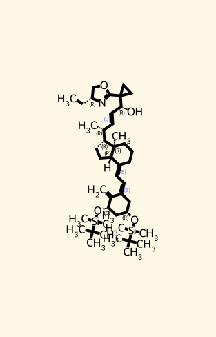 C=C1/C(=C\C=C2/CCC[C@]3(C)[C@@H]([C@H](C)/C=C/[C@@H](O)C4(C5=N[C@H](CC)CO5)CC4)CC[C@@H]23)C[C@@H](O[Si](C)(C)C(C)(C)C)C[C@@H]1O[Si](C)(C)C(C)(C)C